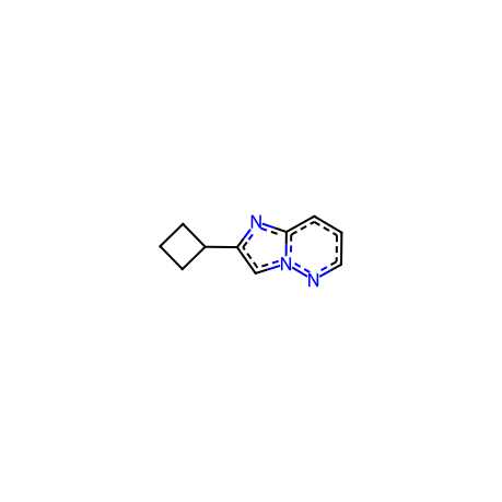 c1cnn2cc(C3CCC3)nc2c1